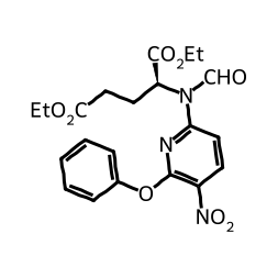 CCOC(=O)CC[C@@H](C(=O)OCC)N(C=O)c1ccc([N+](=O)[O-])c(Oc2ccccc2)n1